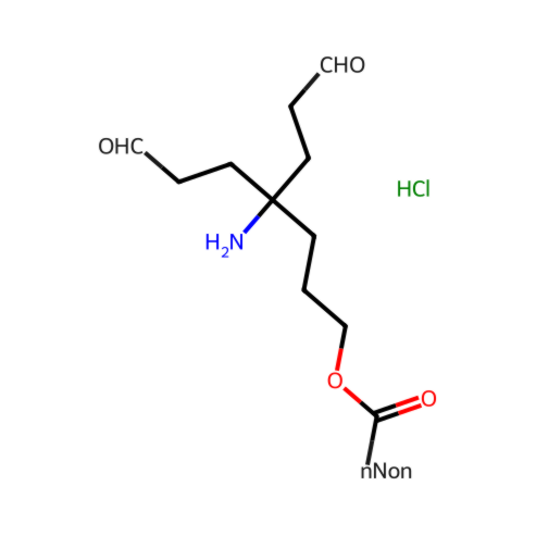 CCCCCCCCCC(=O)OCCCC(N)(CCC=O)CCC=O.Cl